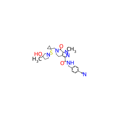 Cn1nc(C(=O)NCc2ccc(C#N)cc2)c2c1C(=O)N(CC1(SN3CCC(C)(O)C3)CC1)CC2